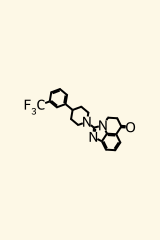 O=C1CCn2c(N3CCC(c4cccc(C(F)(F)F)c4)CC3)nc3cccc1c32